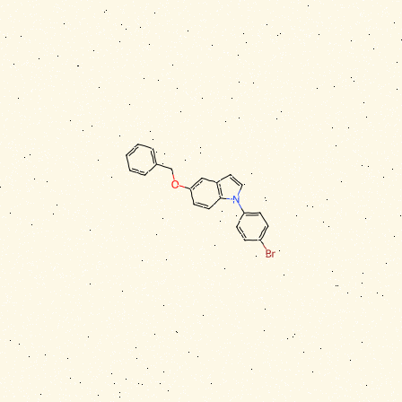 Brc1ccc(-n2ccc3cc(OCc4ccccc4)ccc32)cc1